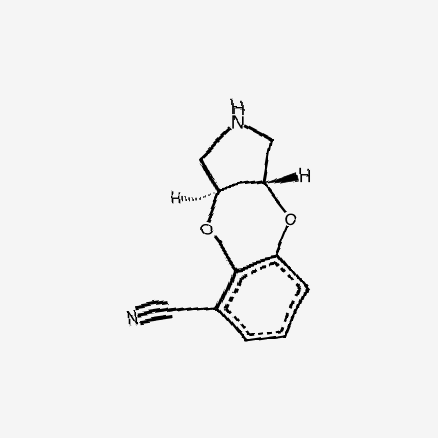 N#Cc1cccc2c1O[C@H]1CNC[C@@H]1O2